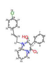 O=c1c(-c2ccccc2)c(O)[n+](C/C=C/c2ccc(Cl)cc2)c2ccccn12